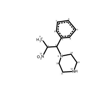 CC(C(c1ccccc1)N1CCNCC1)[N+](=O)[O-]